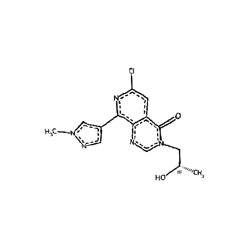 C[C@H](O)Cn1cnc2c(-c3cnn(C)c3)nc(Cl)cc2c1=O